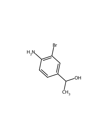 CC(O)c1ccc(N)c(Br)c1